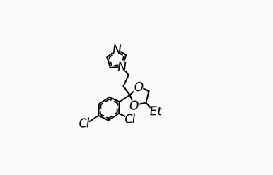 CCC1COC(CCn2ccnc2)(c2ccc(Cl)cc2Cl)O1